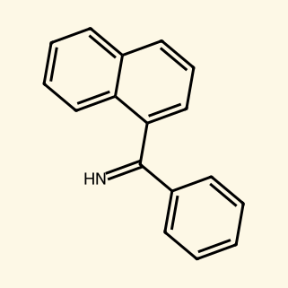 N=C(c1ccccc1)c1cccc2ccccc12